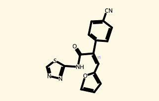 N#Cc1ccc(/C(=C/c2ccco2)C(=O)Nc2nncs2)cc1